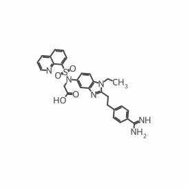 CCn1c(CCc2ccc(C(=N)N)cc2)nc2cc(N(CC(=O)O)S(=O)(=O)c3cccc4cccnc34)ccc21